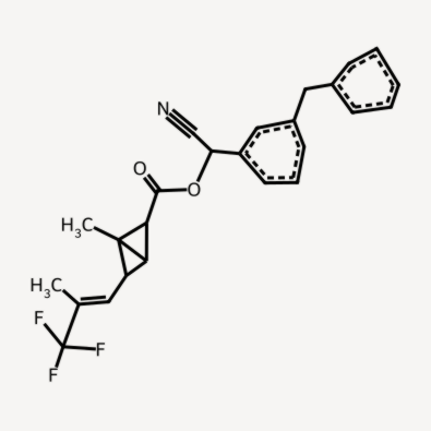 C/C(=C\C1C2C(C(=O)OC(C#N)c3cccc(Cc4ccccc4)c3)C12C)C(F)(F)F